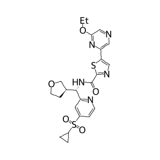 CCOc1cncc(-c2cnc(C(=O)N[C@H](c3cc(S(=O)(=O)C4CC4)ccn3)[C@H]3CCOC3)s2)n1